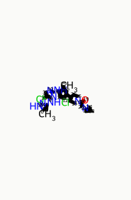 Cc1cc(Nc2nc(Nc3cc(Cl)c(C4CCN(C(=O)CN5CCC5)CC4)cc3C)ncc2Cl)n[nH]1